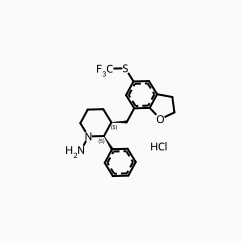 Cl.NN1CCC[C@@H](Cc2cc(SC(F)(F)F)cc3c2OCC3)[C@H]1c1ccccc1